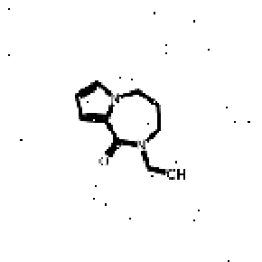 O=C1c2cccn2CCCN1CO